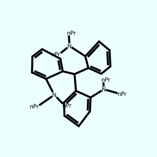 CCCN(CCC)c1ccccc1C(c1ccccc1N(CCC)CCC)c1ccccc1N(CCC)CCC